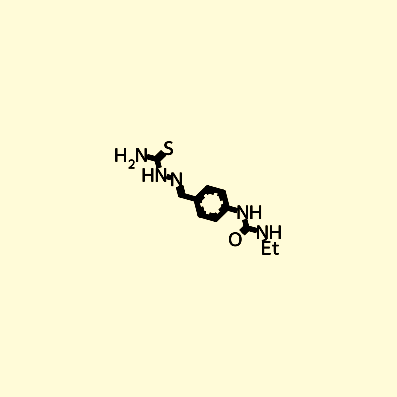 CCNC(=O)Nc1ccc(C=NNC(N)=S)cc1